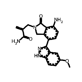 C=C(CN1Cc2c(-c3n[nH]c4ccc(OC)cc34)ccc(N)c2C1=O)C(N)=O